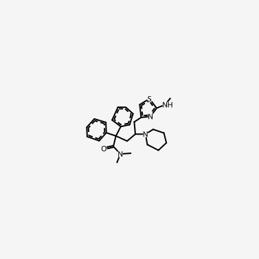 CNc1nc(CC(CC(C(=O)N(C)C)(c2ccccc2)c2ccccc2)N2CCCCC2)cs1